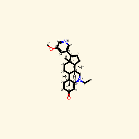 CCN1C[C@H]2[C@@H]3CC=C(c4cncc(OC)c4)C3(C)CC[C@@H]2[C@@]2(C)CCC(=O)C=C12